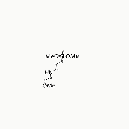 COCCNCCC[Si](C)(OC)OC